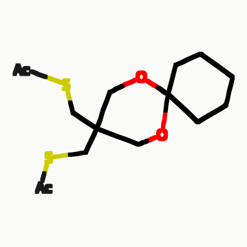 CC(=O)SCC1(CSC(C)=O)COC2(CCCCC2)OC1